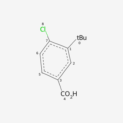 CC(C)(C)c1cc(C(=O)O)ccc1Cl